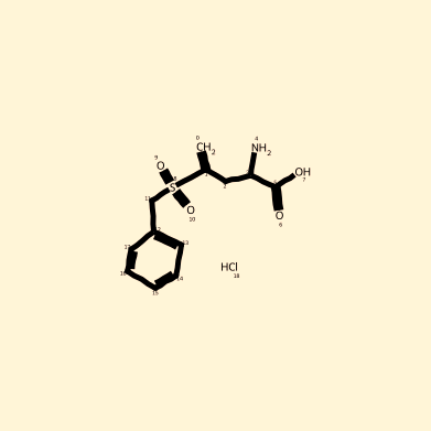 C=C(CC(N)C(=O)O)S(=O)(=O)Cc1ccccc1.Cl